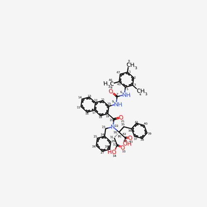 Cc1cc(C)c(NC(=O)Nc2cc3ccccc3cc2C(=O)N(Cc2ccccc2)[C@@](CC(=O)O)(Cc2ccccc2)C(=O)O)c(C)c1